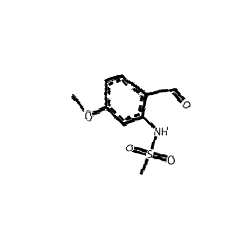 COc1ccc(C=O)c(NS(C)(=O)=O)c1